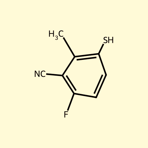 Cc1c(S)ccc(F)c1C#N